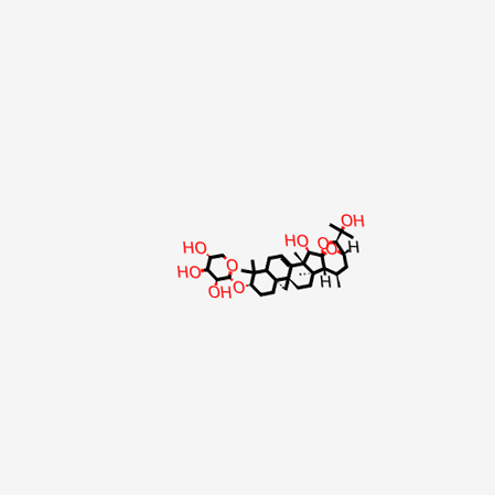 C[C@@H]1C[C@@H]2O[C@]3(O[C@H]2C(C)(C)O)[C@H]1[C@@]1(C)CC[C@@]24C[C@@]25CC[C@H](O[C@@H]2OC[C@@H](O)C(O)[C@@H]2O)C(C)(C)C5CC=C4[C@]1(C)[C@H]3O